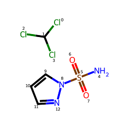 Cl[C](Cl)Cl.NS(=O)(=O)n1cccn1